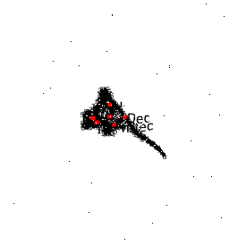 C#CC#CC#CC#CC#CC#CC#CC#CC#CC#CC#CC#CC#CC#CC#CC#CC1(C)c2ccccc2-c2ccc(-c3c4nc(c(-c5ccc(C)c6nc(-c7ccccc7)c(-c7ccccc7)nc56)c5ccc([nH]5)c(-c5ccc6c(c5)C(CCCCCCCCCCCCCCCC)(CCCCCCCCCCCCCCCC)c5ccccc5-6)c5nc(c(C)c6ccc3[nH]6)C=C5)C=C4)cc21